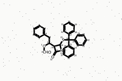 O=COC(Cc1ccccc1)C1C(=O)NC1SC(c1ccccc1)(c1ccccc1)c1ccccc1